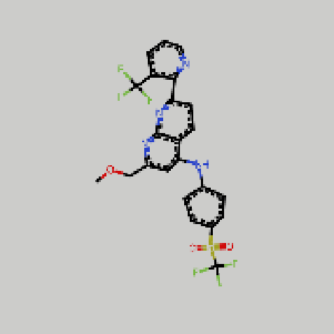 COCc1cc(Nc2ccc(S(=O)(=O)C(F)(F)F)cc2)c2ccc(-c3ncccc3C(F)(F)F)nc2n1